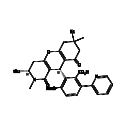 CCC1(C)CC(=O)C2=C(C1)OC1=C(C(=O)N(C)[C@H](C(C)(C)C)C1)[C@H]2c1c(OC)ccc(-c2ccccn2)c1C(=O)O